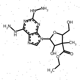 CCOC(=O)C1(C)C(CO)OC(n2cnc3c(NN)nc(NN)nc32)C1O